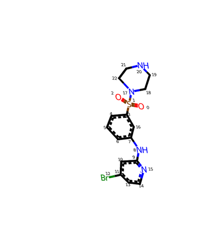 O=S(=O)(c1cccc(Nc2cc(Br)ccn2)c1)N1CCNCC1